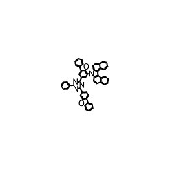 c1ccc(-c2nc(-c3ccc4c(c3)oc3ccccc34)nc(-c3cc(-n4c5ccc6ccccc6c5c5c6ccccc6ccc54)c4oc5ccccc5c4c3)n2)cc1